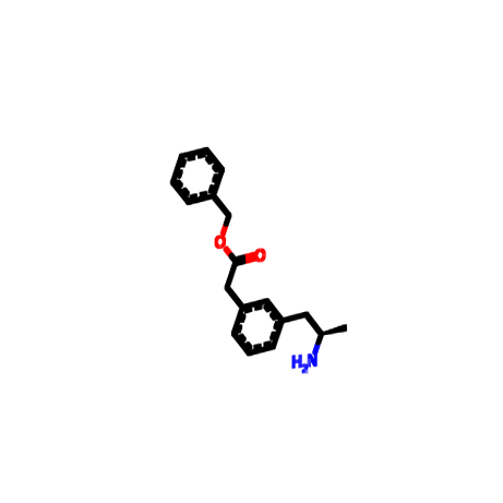 C[C@@H](N)Cc1cccc(CC(=O)OCc2ccccc2)c1